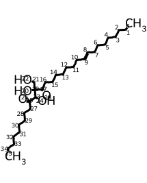 CCCCCCCCC=CCCCCCCCC(=O)C(O)(CO)C(O)C(=O)CCCCCCCCC